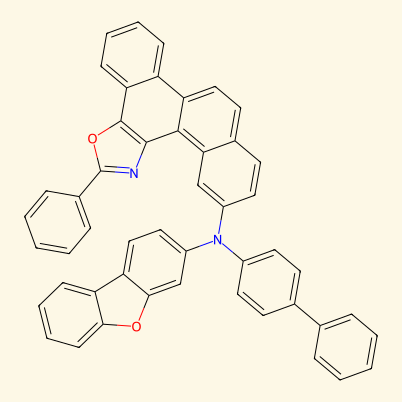 c1ccc(-c2ccc(N(c3ccc4c(c3)oc3ccccc34)c3ccc4ccc5c6ccccc6c6oc(-c7ccccc7)nc6c5c4c3)cc2)cc1